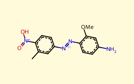 COc1cc(N)ccc1/N=N/c1ccc([N+](=O)O)c(C)c1